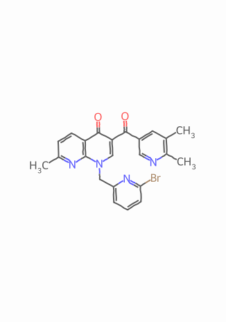 Cc1ccc2c(=O)c(C(=O)c3cnc(C)c(C)c3)cn(Cc3cccc(Br)n3)c2n1